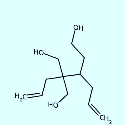 C=CCC(CCO)C(CO)(CO)CC=C